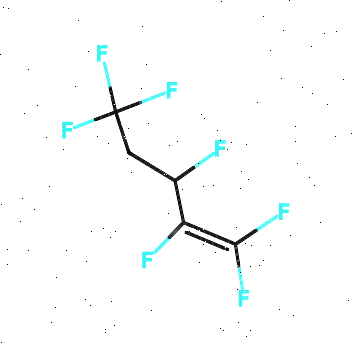 FC(F)=C(F)C(F)CC(F)(F)F